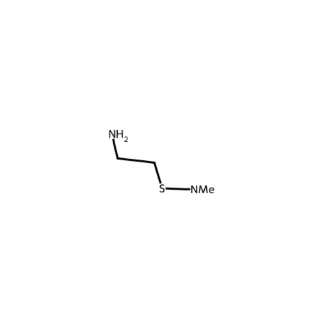 CNSCCN